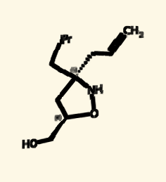 C=CC[C@@]1(CC(C)C)C[C@H](CO)ON1